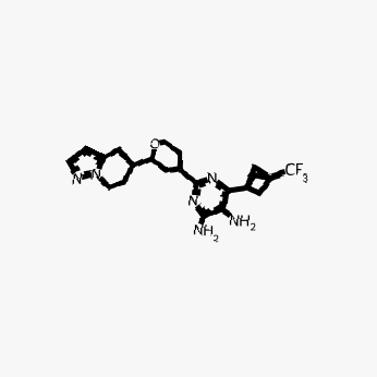 Nc1nc(C2CCOC(C3CCn4nccc4C3)C2)nc(C23CC(C(F)(F)F)(C2)C3)c1N